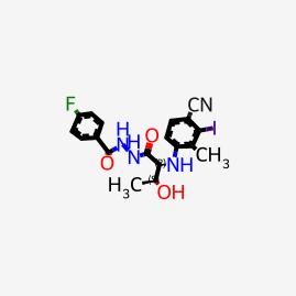 Cc1c(N[C@@H](C(=O)NNC(=O)c2ccc(F)cc2)[C@H](C)O)ccc(C#N)c1I